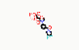 O=C(O)[C@H](O)[C@H]1OCCN(c2cccc(C(=O)N3CCC(F)(F)CC3)c2)C1=O